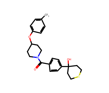 O=C(c1ccc(C2(O)CCSCC2)cc1)N1CCC(Oc2ccc(C(F)(F)F)cc2)CC1